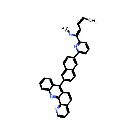 C=N/C(=C\C=C/C)c1cccc(-c2ccc3cc(-c4c5ccccc5nc5c4ccc4cccnc45)ccc3c2)n1